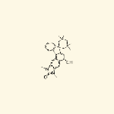 Cn1c(=O)n(C)c2cc3c4c(cc(O)c3cc21)C1(CC(C)(C)CC(C)(C)C1)c1ccccc1-4